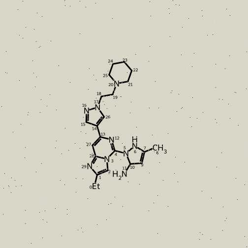 CCc1cn2c(N3NC(C)=CC3N)nc(-c3cnn(CCN4CCCCC4)c3)cc2n1